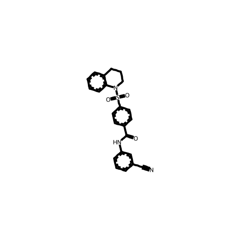 N#Cc1cccc(NC(=O)c2ccc(S(=O)(=O)N3CCCc4ccccc43)cc2)c1